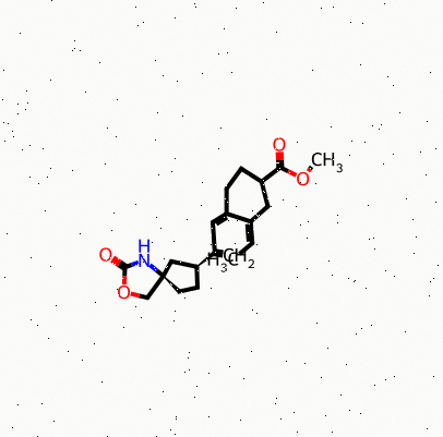 C=C(/C=C1/CCC(C(=O)OC)C/C1=C/C)[C@H]1CC[C@]2(COC(=O)N2)C1